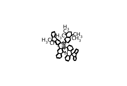 CC1(C)CCC(C)(C)c2cc(Nc3cc4c(cc3-c3cc5ccccc5c5c3Bc3cccc6c3N5c3ccccc3C63c5ccccc5-c5ccccc53)C(C)(C)c3ccccc3-4)ccc21